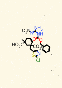 CC1(C(=O)O)CC=CC(Cc2cnc(Cl)s2)(C(=O)O)C1.NC(=N[N+](=O)[O-])NC(=O)OCc1ccccc1